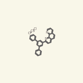 [Cl][Co][Cl].c1ccc(-c2cc(-c3ccccc3)cc(-c3ccc4ccc5cccnc5c4n3)c2)cc1